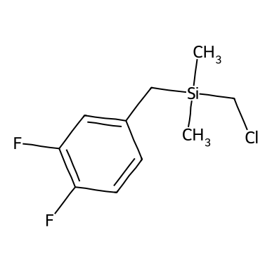 C[Si](C)(CCl)Cc1ccc(F)c(F)c1